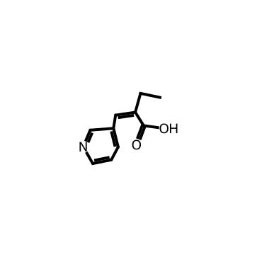 CCC(=Cc1cccnc1)C(=O)O